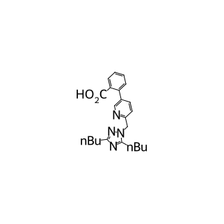 CCCCc1nc(CCCC)n(Cc2ccc(-c3ccccc3C(=O)O)cn2)n1